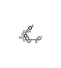 O=C(NCc1ccc(F)cc1)c1cn2c(c(O)c1=O)C(=O)N1CCCN(CCCC(=O)N3CCOCC3)C1C2